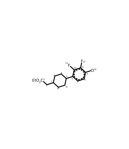 CCOC(=O)CC1CCC(c2ccc(Cl)c(F)c2F)CC1